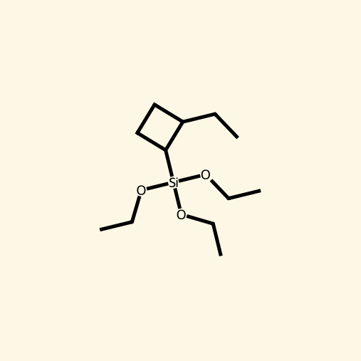 CCO[Si](OCC)(OCC)C1CCC1CC